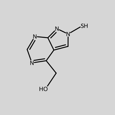 OCc1ncnc2nn(S)cc12